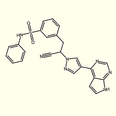 N#CC(Cc1cccc(S(=O)(=O)Nc2ccccc2)c1)n1cc(-c2ncnc3[nH]ccc23)cn1